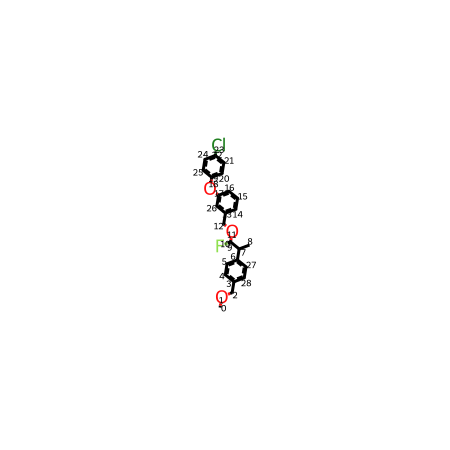 COCc1ccc(C(C)C(F)OCc2cccc(Oc3ccc(Cl)cc3)c2)cc1